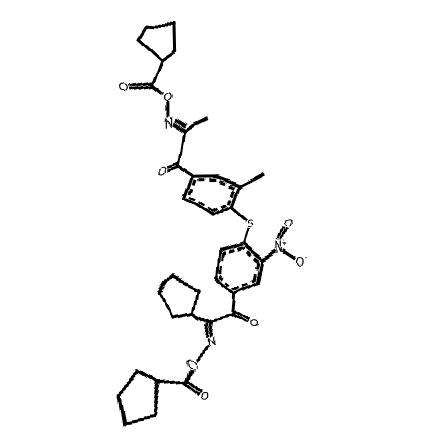 C/C(=N\OC(=O)C1CCCC1)C(=O)c1ccc(Sc2ccc(C(=O)/C(=N/OC(=O)C3CCCC3)C3CCCC3)cc2[N+](=O)[O-])c(C)c1